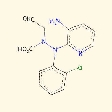 Nc1cccnc1N(c1ccccc1Cl)N(CC=O)C(=O)O